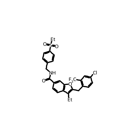 CCc1c(Cc2ccc(Cl)cc2C(F)(F)F)oc2cc(C(=O)NCc3ccc(S(=O)(=O)CC)cc3)ccc12